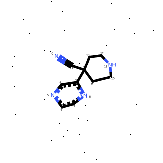 N#CC1(c2cnccn2)CCNCC1